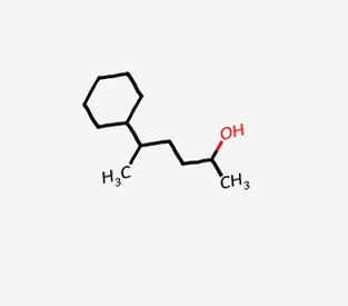 CC(O)CCC(C)C1CCCCC1